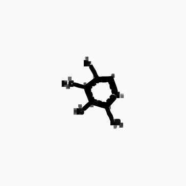 Cc1c(Br)cnc([N+](=O)[O-])c1O